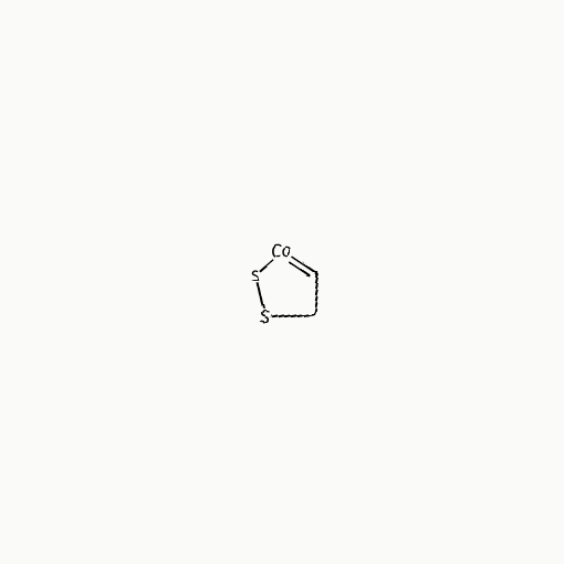 [CH]1=[Co][S]SC1